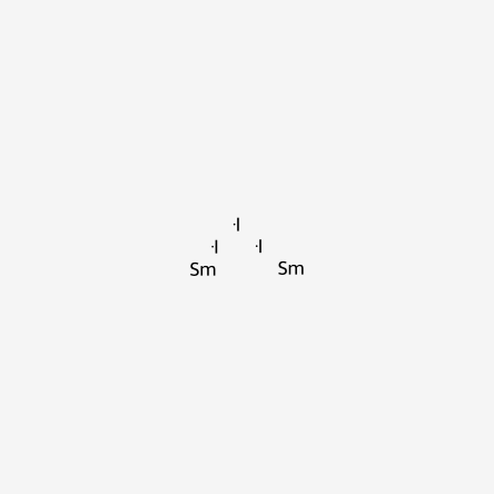 [I].[I].[I].[Sm].[Sm]